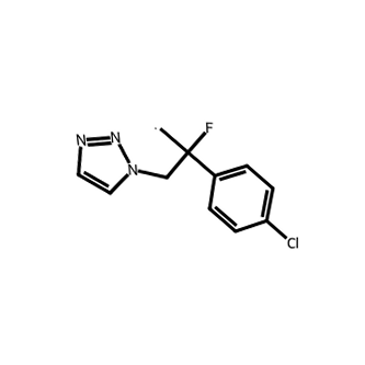 [CH2]C(F)(Cn1ccnn1)c1ccc(Cl)cc1